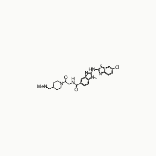 CNCC1CCN(C(=O)CNC(=O)c2ccc3c(c2)nc(Nc2nc4ccc(Cl)cc4s2)n3C)CC1